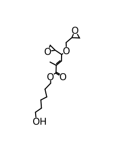 CC(=CC(OCC1CO1)C1CO1)C(=O)OCCCCCCO